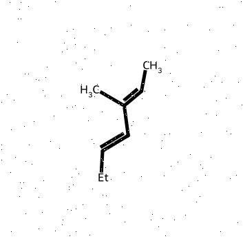 C/[C]=C(\C)C=CCC